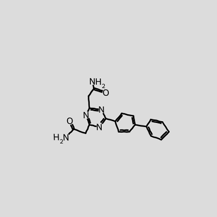 NC(=O)Cc1nc(CC(N)=O)nc(-c2ccc(-c3ccccc3)cc2)n1